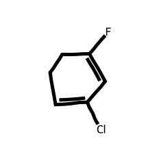 FC1=CC(Cl)=CCC1